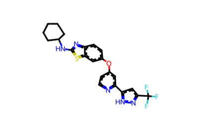 FC(F)(F)c1cc(-c2cc(Oc3ccc4nc(NC5CCCCC5)sc4c3)ccn2)[nH]n1